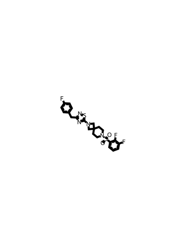 O=S(=O)(c1cccc(F)c1F)N1CCC2(CC1)CN(c1nc(Cc3ccc(F)cc3)ns1)C2